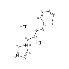 Cl.ClC(CCc1ccccc1)Cn1ccnc1